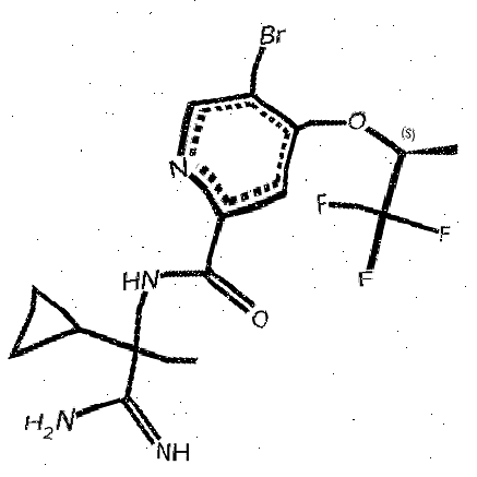 C[C@H](Oc1cc(C(=O)NC(C)(C(=N)N)C2CC2)ncc1Br)C(F)(F)F